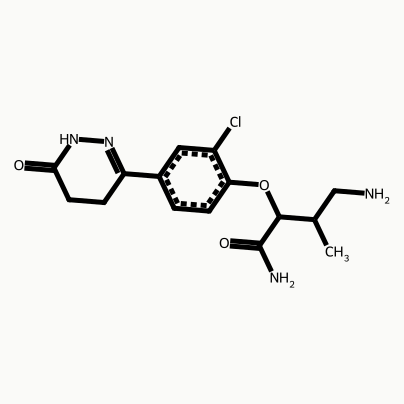 CC(CN)C(Oc1ccc(C2=NNC(=O)CC2)cc1Cl)C(N)=O